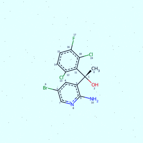 C[C@@](O)(c1cc(Br)cnc1N)c1c(Cl)ccc(F)c1Cl